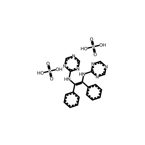 O=S(=O)(O)O.O=S(=O)(O)O.c1ccc(C(Nc2ncncn2)=C(Nc2ncncn2)c2ccccc2)cc1